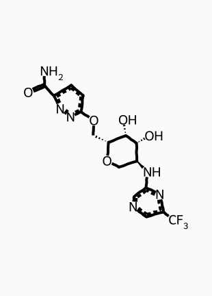 NC(=O)c1ccc(OC[C@H]2OC[C@H](Nc3cncc(C(F)(F)F)n3)[C@@H](O)[C@H]2O)nn1